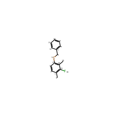 Cc1ccc(SCc2ccccc2)c(C)c1F